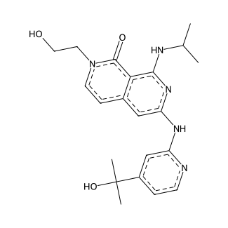 CC(C)Nc1nc(Nc2cc(C(C)(C)O)ccn2)cc2ccn(CCO)c(=O)c12